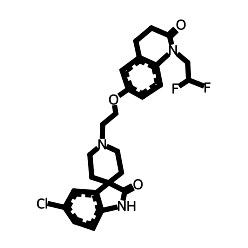 O=C1CCc2cc(OCCN3CCC4(CC3)C(=O)Nc3ccc(Cl)cc34)ccc2N1CC(F)F